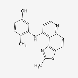 Cc1nc2c(ccc3nccc(Nc4cc(O)ccc4C)c32)s1